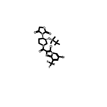 CC(C)(C)[Si](C)(C)O[C@@H]1CN(C(=O)c2nc3c(C(F)(F)F)cc(Br)cn3c2Cl)CC[C@H]1N1C(=O)COC1=O